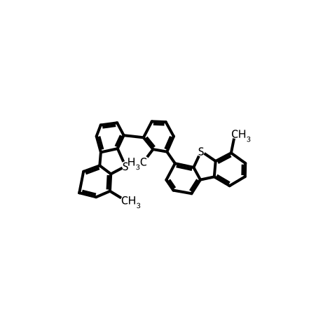 Cc1c(-c2cccc3c2sc2c(C)cccc23)cccc1-c1cccc2c1sc1c(C)cccc12